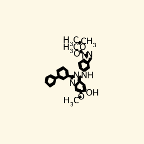 COc1cc2nc(-c3cccc(-c4ccccc4)c3)nc(Nc3ccc4c(cnn4C(=O)OC(C)(C)C)c3)c2cc1O